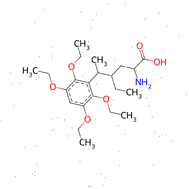 CCOc1cc(OCC)c(OCC)c(C(C)C(CC)CC(N)C(=O)O)c1OCC